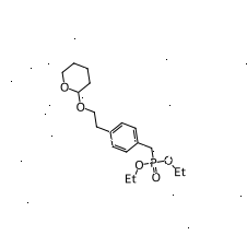 CCOP(=O)(Cc1ccc(CCOC2CCCCO2)cc1)OCC